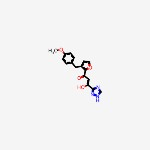 COc1ccc(Cc2ccoc2C(=O)C=C(O)c2nc[nH]n2)cc1